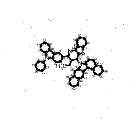 CCC1C(c2ccc3c(c2)c2ccccc2n3-c2ccccc2)=Nc2c(sc3ccccc23)C1n1c2cc3ccccc3cc2c2c3ccccc3ccc21